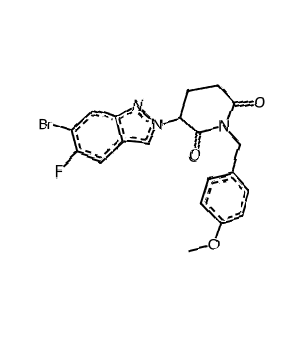 COc1ccc(CN2C(=O)CCC(n3cc4cc(F)c(Br)cc4n3)C2=O)cc1